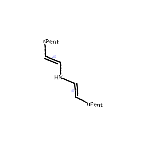 CCCCC/C=C/N/C=C/CCCCC